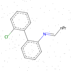 CCC/C=N/c1ccccc1-c1ccccc1Cl